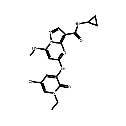 CCn1cc(Cl)cc(Nc2cc(NC)n3ncc(C(=O)NC4CC4)c3n2)c1=O